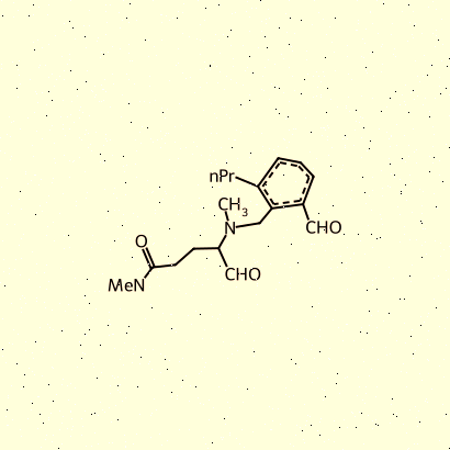 CCCc1cccc(C=O)c1CN(C)C(C=O)CCC(=O)NC